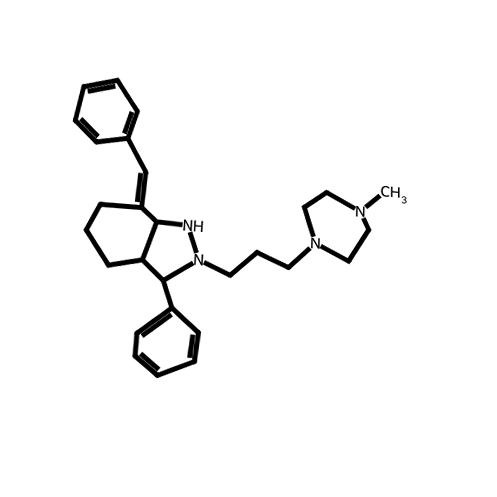 CN1CCN(CCCN2NC3C(=Cc4ccccc4)CCCC3C2c2ccccc2)CC1